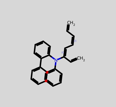 C=C/C=C\C=C(/C=C)N(c1ccccc1)c1ccccc1-c1ccccc1